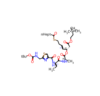 C/C=C(\NC(=O)c1csc(CNC(=O)OC(C)(C)C)n1)C(=O)N[C@H](C)C(=O)O[C@H](/C=C/CCSC(=O)CCCCCCC)CC(=O)OCC[Si](C)(C)C